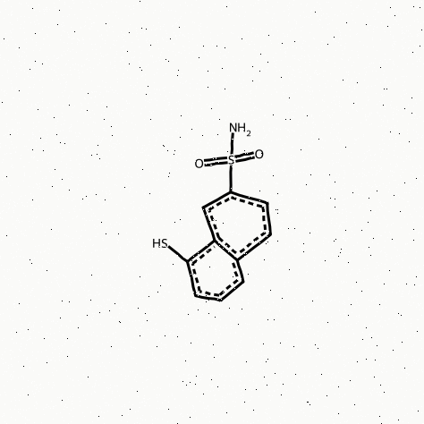 NS(=O)(=O)c1ccc2cccc(S)c2c1